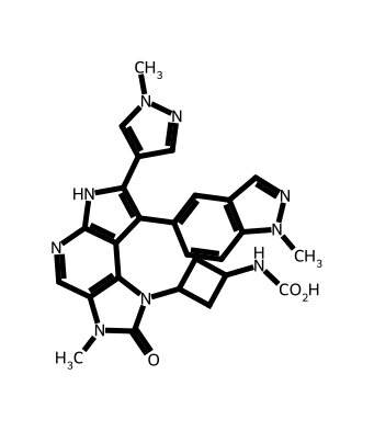 Cn1cc(-c2[nH]c3ncc4c(c3c2-c2ccc3c(cnn3C)c2)n(C2CC(NC(=O)O)C2)c(=O)n4C)cn1